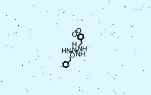 N=C(NCCc1ccc2c(c1)OCO2)NC(=N)OCCc1ccccc1